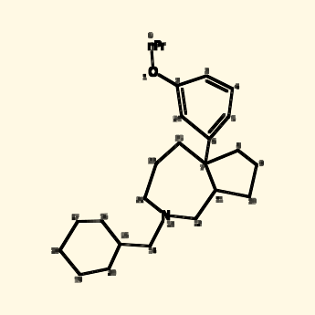 CCCOc1cccc(C23CCCC2CN(CC2CCCCC2)CCC3)c1